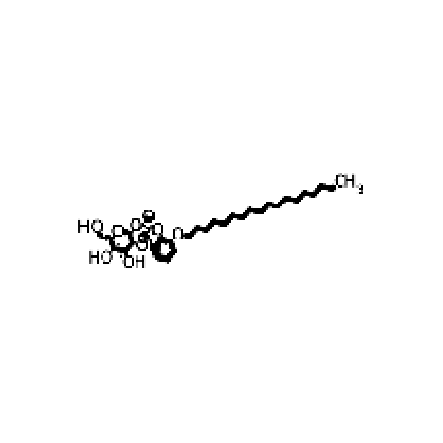 CCCCCCCCCCCCCCCCCCOc1ccccc1OS(=O)(=O)O[C@@H]1O[C@H](CO)[C@@H](O)[C@H](O)[C@H]1O